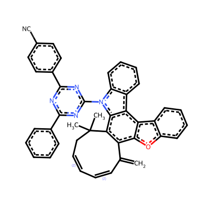 C=C1/C=C\C=C/CC(C)(C)c2c1c1oc3ccccc3c1c1c3ccccc3n(-c3nc(-c4ccccc4)nc(-c4ccc(C#N)cc4)n3)c21